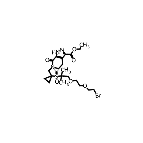 CCOC(=O)c1n[nH]c2c1CCN(CC1(S(=O)(=O)C(C)(C)COCCOCCBr)CC1)C2=O